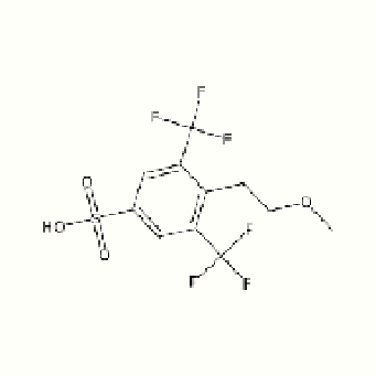 COCCc1c(C(F)(F)F)cc(S(=O)(=O)O)cc1C(F)(F)F